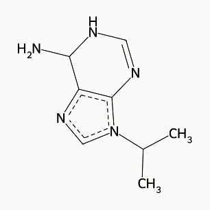 CC(C)n1cnc2c1N=CNC2N